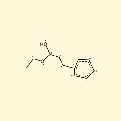 CCOC(O)CCc1ccccc1